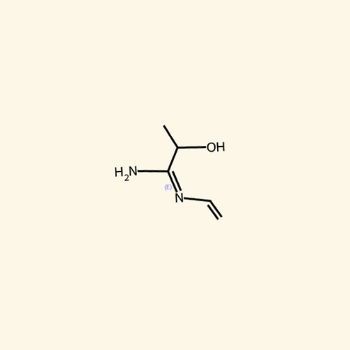 C=C/N=C(/N)C(C)O